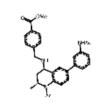 COC(=O)c1ccc(CN[C@@H]2C[C@H](C)N(C(C)=O)c3ccc(-c4cccc(NC(C)=O)c4)cc32)cc1